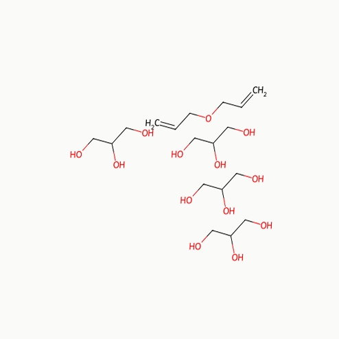 C=CCOCC=C.OCC(O)CO.OCC(O)CO.OCC(O)CO.OCC(O)CO